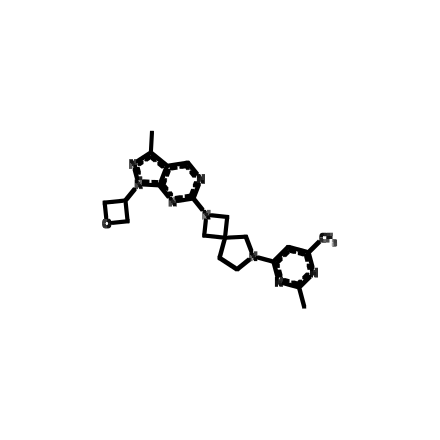 Cc1nc(N2CCC3(C2)CN(c2ncc4c(C)nn(C5COC5)c4n2)C3)cc(C(F)(F)F)n1